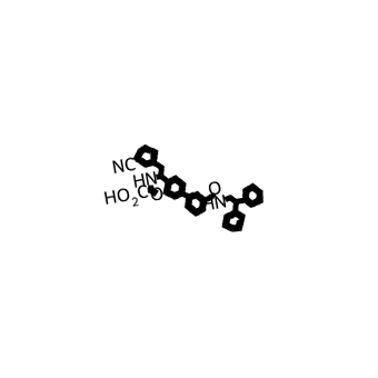 N#Cc1cccc(CC(NC(=O)C(=O)O)c2ccc(-c3cccc(C(=O)NCC(c4ccccc4)c4ccccc4)c3)cc2)c1